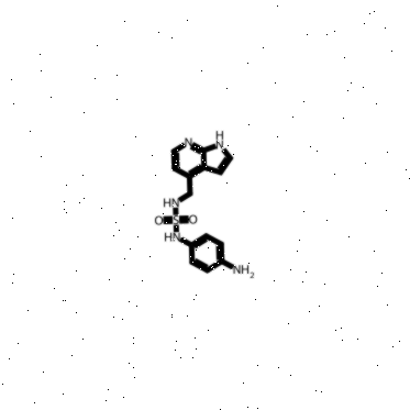 Nc1ccc(NS(=O)(=O)NCc2ccnc3[nH]ccc23)cc1